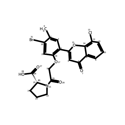 Cc1cc(-c2cc(=O)c3cccc(Cl)c3o2)c(OCC(=O)N2CCC[C@@H]2C(=O)O)cc1Br